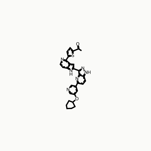 CC(=O)c1ccc(-c2nccc3[nH]c(-c4n[nH]c5ccc(-c6cncc(OC7CCCCC7)c6)nc45)cc23)s1